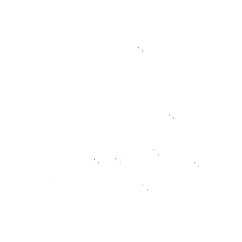 COc1cc(Nc2cnc3ccn(C[C@H]4CCCNC4)c3n2)n[nH]1